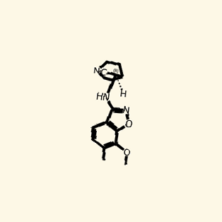 COc1c(C)ccc2c(N[C@H]3CN4CCC3CC4)noc12